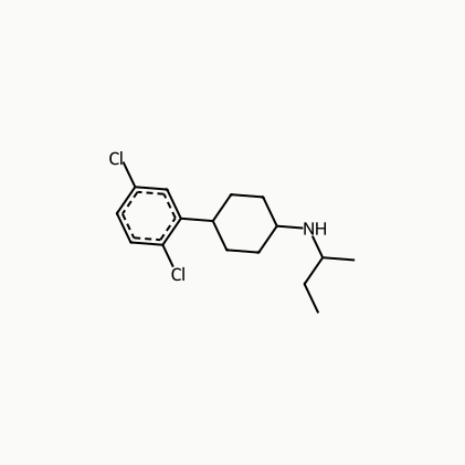 CCC(C)NC1CCC(c2cc(Cl)ccc2Cl)CC1